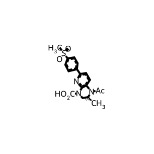 CC(=O)N1c2ccc(-c3ccc(S(C)(=O)=O)cc3)nc2N(C(=O)O)C[C@@H]1C